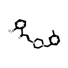 Cc1cccc(CN2CCN(C=CC(=O)c3ccccc3[N+](=O)[O-])CC2)c1